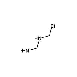 CCCNC[NH]